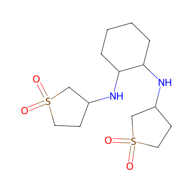 O=S1(=O)CCC(NC2CCCCC2NC2CCS(=O)(=O)C2)C1